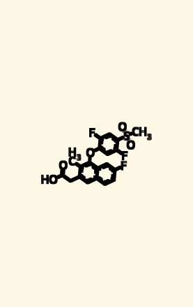 Cc1c(CC(=O)O)cc2ccc(F)cc2c1Oc1cc(F)c(S(C)(=O)=O)cc1F